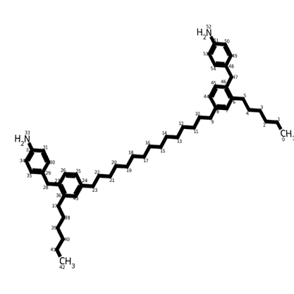 CCCCCCc1cc(CCCCCCCCCCCCCCCc2ccc(Cc3ccc(N)cc3)c(CCCCCC)c2)ccc1Cc1ccc(N)cc1